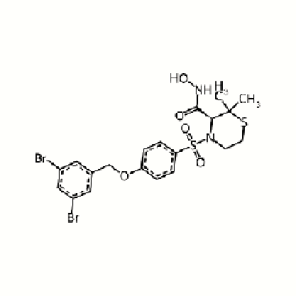 CC1(C)SCCN(S(=O)(=O)c2ccc(OCc3cc(Br)cc(Br)c3)cc2)[C@H]1C(=O)NO